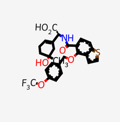 CC1(O)CCC=C([C@H](NC(=O)c2ccc3sccc3c2OCc2ccc(OC(F)(F)F)cc2)C(=O)O)C1